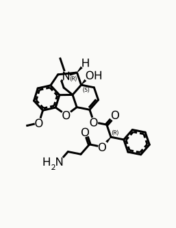 COc1ccc2c3c1OC1C(OC(=O)[C@H](OC(=O)CCN)c4ccccc4)=CC[C@@]4(O)[C@@H](C2)N(C)CCC314